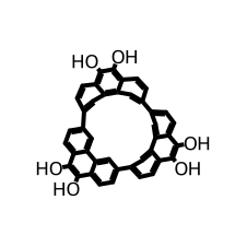 Oc1c(O)c2ccc3cc2c2cc(ccc12)c1ccc2c(O)c(O)c4ccc(cc4c2c1)c1ccc2c(O)c(O)c4ccc3cc4c2c1